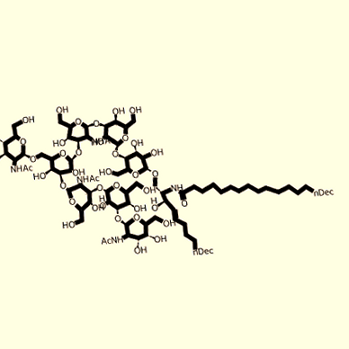 CCCCCCCCCCCCC/C=C/[C@@H](O)[C@H](CO[C@@H]1OC(CO)[C@@H](O[C@@H]2OC(CO)[C@H](O)[C@H](O[C@@H]3OC(CO)[C@@H](O)[C@H](O[C@@H]4OC(CO[C@@H]5OC(CO)[C@@H](O)[C@H](O)C5NC(C)=O)[C@H](O)[C@H](O[C@@H]5OC(CO)[C@@H](O)[C@H](O[C@@H]6OC(CO)[C@H](O)[C@H](O[C@H]7OC(CO)[C@H](O)[C@H](O)C7NC(C)=O)C6O)C5NC(C)=O)C4O)C3NC(C)=O)C2O)[C@H](O)C1O)NC(=O)CCCCCCCCCCCCCCCCCCCCCCC